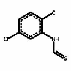 S=CNc1cc(Cl)ccc1Cl